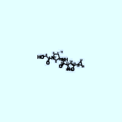 C[C@H]1CN(C(=O)CO)C[C@@H]1NC(=O)c1cc(C2CC2)on1